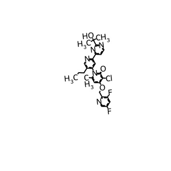 CCCc1cnc(-c2ccnc(C(C)(C)O)n2)cc1-n1c(C)cc(OCc2ncc(F)cc2F)c(Cl)c1=O